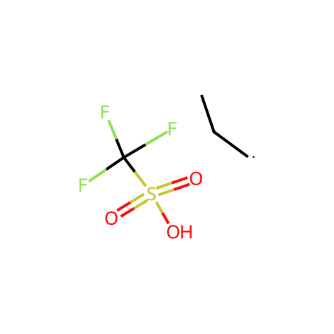 O=S(=O)(O)C(F)(F)F.[CH2]CC